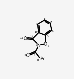 CC(C)C(=O)n1oc2ccccc2c1=O